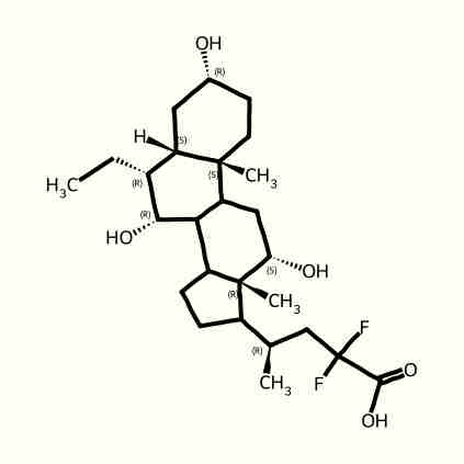 CC[C@H]1[C@@H](O)C2C3CCC([C@H](C)CC(F)(F)C(=O)O)[C@@]3(C)[C@@H](O)CC2[C@@]2(C)CC[C@@H](O)C[C@@H]12